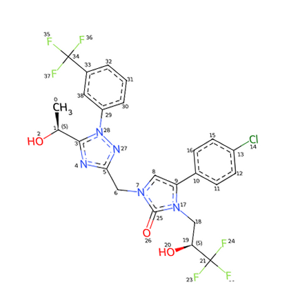 C[C@H](O)c1nc(Cn2cc(-c3ccc(Cl)cc3)n(C[C@H](O)C(F)(F)F)c2=O)nn1-c1cccc(C(F)(F)F)c1